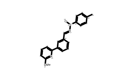 COc1cccc(-c2cccc(C=N[S+]([O-])c3ccc(C)cc3)c2)n1